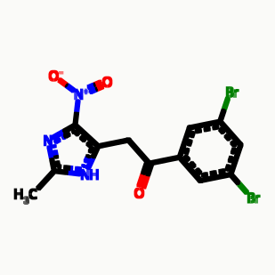 Cc1nc([N+](=O)[O-])c(CC(=O)c2cc(Br)cc(Br)c2)[nH]1